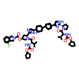 CC(C)[C@H](NC(=O)OC1CCCC1)C(=O)N1C[C@H](OC(=O)N2Cc3cccc(F)c3C2)CC1c1ncc(-c2ccc(-c3ccc(-c4c[nH]c([C@@H]5CCCN5C(=O)[C@@H](NC(=O)OC5CCCC5)C(C)C)n4)cc3)cc2)[nH]1